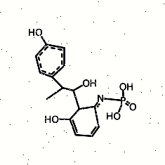 CC(c1ccc(O)cc1)C(O)C1C(O)=CC=CC1=NP(=O)(O)O